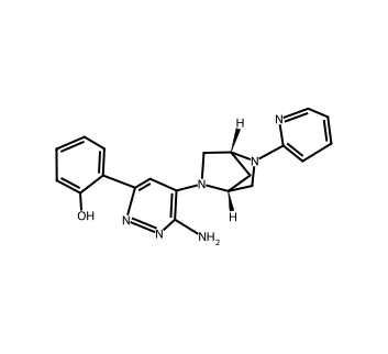 Nc1nnc(-c2ccccc2O)cc1N1C[C@H]2C[C@@H]1CN2c1ccccn1